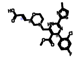 COC(=O)C1=C(CN2CCO[C@H](/C=C/C(=O)O)C2)NC(c2nc(C)cs2)=N[C@H]1c1ccc(F)cc1Cl